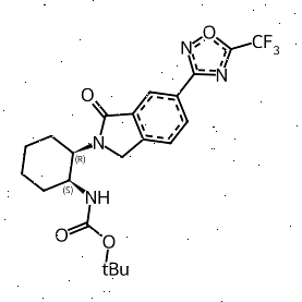 CC(C)(C)OC(=O)N[C@H]1CCCC[C@H]1N1Cc2ccc(-c3noc(C(F)(F)F)n3)cc2C1=O